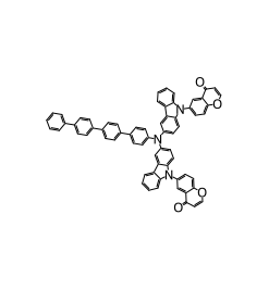 O=c1ccoc2ccc(-n3c4ccccc4c4cc(N(c5ccc(-c6ccc(-c7ccc(-c8ccccc8)cc7)cc6)cc5)c5ccc6c(c5)c5ccccc5n6-c5ccc6occc(=O)c6c5)ccc43)cc12